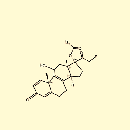 CCC(=O)O[C@]1(C(=O)CF)CC[C@H]2C3=C(C(O)C[C@@]21C)[C@@]1(C)C=CC(=O)C=C1CC3